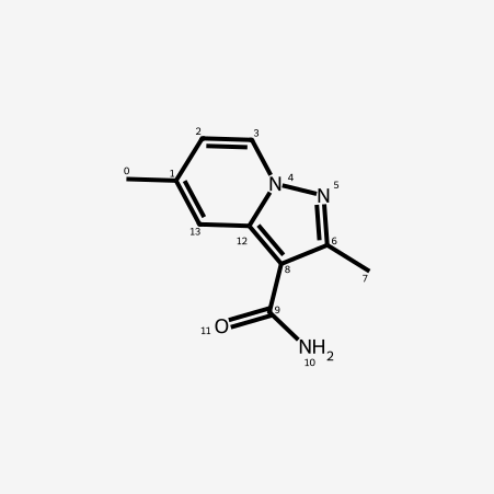 Cc1ccn2nc(C)c(C(N)=O)c2c1